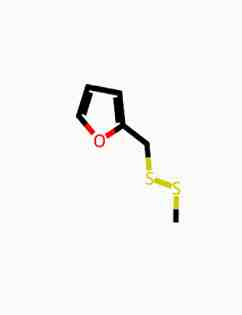 CSSCc1ccco1